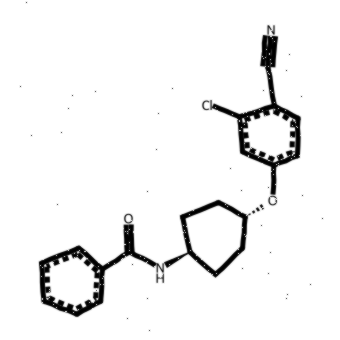 N#Cc1ccc(O[C@H]2CC[C@H](NC(=O)c3ccccc3)CC2)cc1Cl